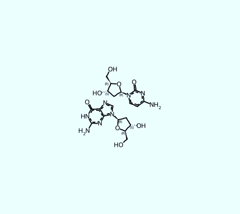 Nc1ccn([C@H]2C[C@H](O)[C@@H](CO)O2)c(=O)n1.Nc1nc2c(ncn2[C@H]2C[C@H](O)[C@@H](CO)O2)c(=O)[nH]1